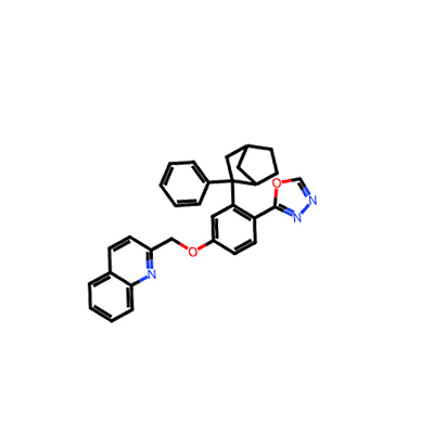 c1ccc(C2(c3cc(OCc4ccc5ccccc5n4)ccc3-c3nnco3)CC3CCC2C3)cc1